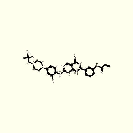 C=CC(=O)Nc1cccc(-c2nc(=O)c3cnc(Nc4ccc(N5CCN(CC(C)(C)O)CC5)cc4F)nc3[nH]2)c1